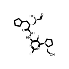 O=CN(O)C[C@@H](CC1CCCC1)C(=O)NNc1nc(Cl)nc(N2CCC[C@H]2CO)c1F